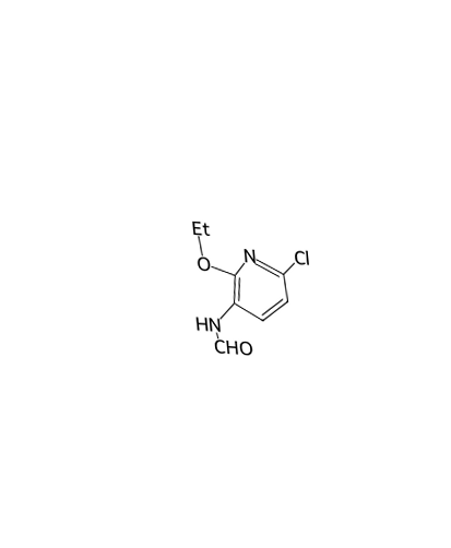 CCOc1nc(Cl)ccc1NC=O